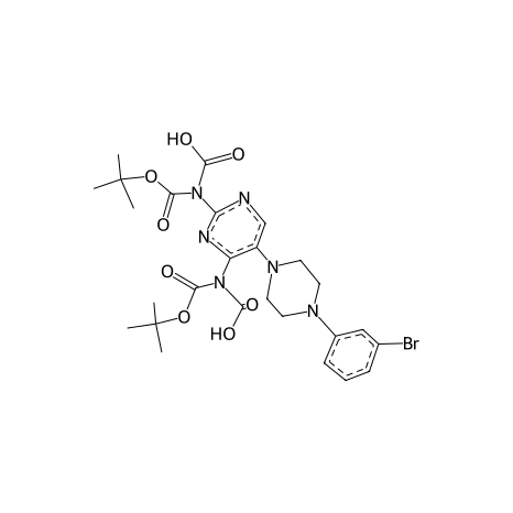 CC(C)(C)OC(=O)N(C(=O)O)c1ncc(N2CCN(c3cccc(Br)c3)CC2)c(N(C(=O)O)C(=O)OC(C)(C)C)n1